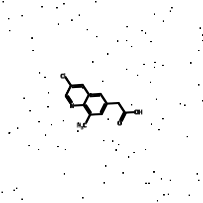 Cc1cc(CC(=O)O)cc2cc(Cl)cnc12